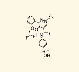 CC(C)(O)c1ccc(NC(=O)c2cn(C3CC3)nc(-c3ccccc3OCC(F)F)c2=O)cc1